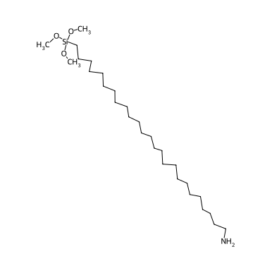 CO[Si](CCCCCCCCCCCCCCCCCCCCCCCCCN)(OC)OC